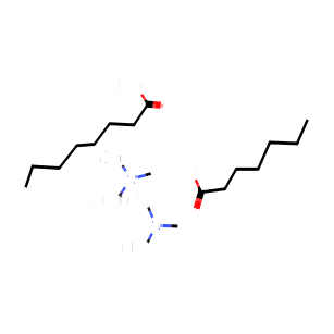 CCCCCCC(=O)O.CCCCCCCC(=O)O.CCCCN(C)CCCC.CCCCN(C)CCCC